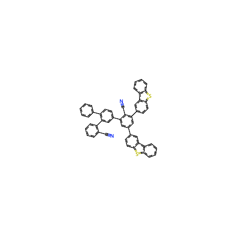 N#Cc1ccccc1-c1cc(-c2cc(-c3ccc4sc5ccccc5c4c3)cc(-c3ccc4sc5ccccc5c4c3)c2C#N)ccc1-c1ccccc1